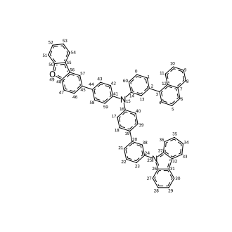 c1cc(-c2cccc3ccccc23)cc(N(c2ccc(-c3cccc(-n4c5ccccc5c5ccccc54)c3)cc2)c2ccc(-c3ccc4oc5ccccc5c4c3)cc2)c1